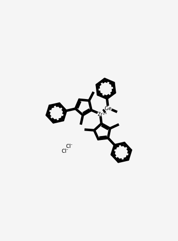 CC1=[C]([Zr+2]([C]2=C(C)C(c3ccccc3)=CC2C)=[Ge]([CH3])[c]2ccccc2)C(C)C=C1c1ccccc1.[Cl-].[Cl-]